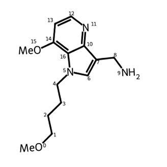 COCCCCn1cc(CN)c2nccc(OC)c21